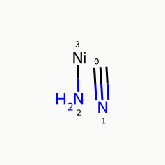 C#N.[NH2][Ni]